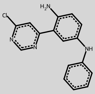 Nc1ccc(Nc2ccccc2)cc1-c1cc(Cl)ncn1